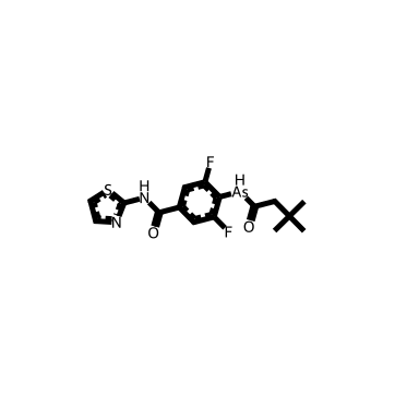 CC(C)(C)CC(=O)[AsH]c1c(F)cc(C(=O)Nc2nccs2)cc1F